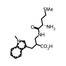 CSCC[C@H](N)C(=O)NCC(Cc1cn(C)c2ccccc12)C(=O)O